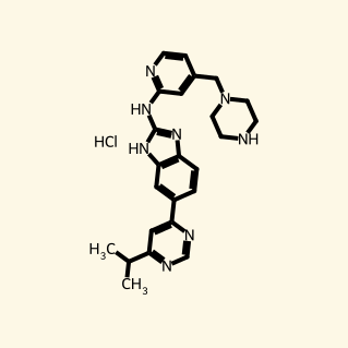 CC(C)c1cc(-c2ccc3nc(Nc4cc(CN5CCNCC5)ccn4)[nH]c3c2)ncn1.Cl